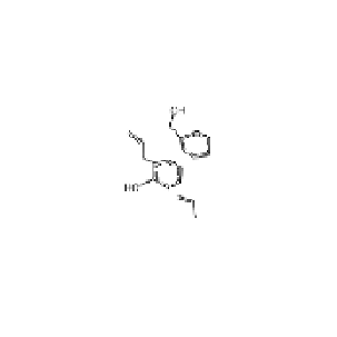 C=CC.C=CCc1ccccc1O.OCc1ccccc1